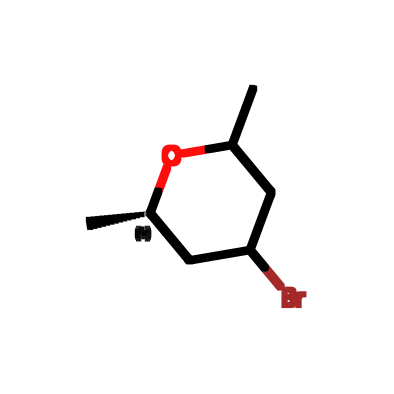 CC1CC(Br)C[C@H](C)O1